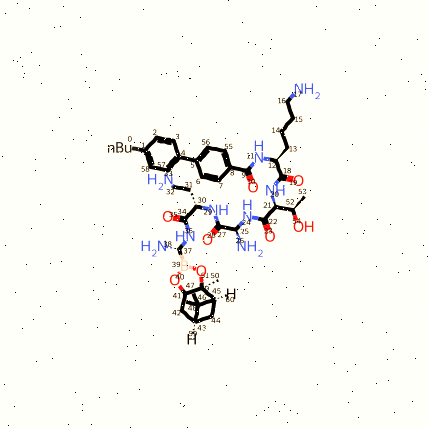 CCCCc1ccc(-c2ccc(C(=O)N[C@@H](CCCCN)C(=O)N[C@H](C(=O)N[C@@H](N)C(=O)N[C@@H](CCN)C(=O)N[C@@H](N)B3OC4C[C@@H]5C[C@@H](C5(C)C)[C@]4(C)O3)[C@@H](C)O)cc2)cc1